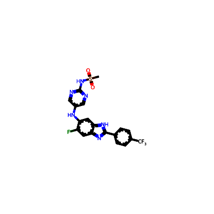 CS(=O)(=O)Nc1ncc(Nc2cc3[nH]c(-c4ccc(C(F)(F)F)cc4)nc3cc2F)cn1